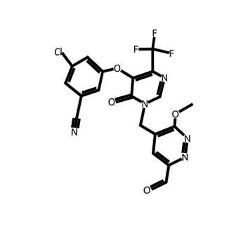 COc1nnc(C=O)cc1Cn1cnc(C(F)(F)F)c(Oc2cc(Cl)cc(C#N)c2)c1=O